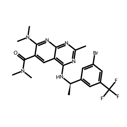 Cc1nc(N[C@H](C)c2cc(Br)cc(C(F)(F)F)c2)c2cc(C(=O)N(C)C)c(N(C)C)nc2n1